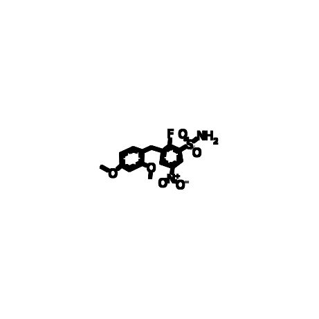 COc1ccc(Cc2cc([N+](=O)[O-])cc(S(N)(=O)=O)c2F)c(OC)c1